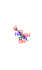 C=CCN1CC[C@@]2(c3cccc(O)c3)C[C@H](NC(=O)/C=C/c3ccoc3)CC[C@]2(O)C1